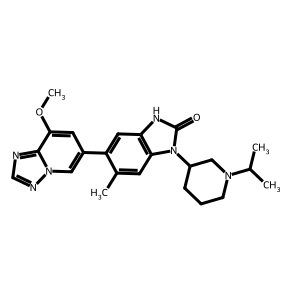 COc1cc(-c2cc3[nH]c(=O)n(C4CCCN(C(C)C)C4)c3cc2C)cn2ncnc12